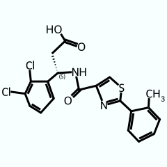 Cc1ccccc1-c1nc(C(=O)N[C@@H](CC(=O)O)c2cccc(Cl)c2Cl)cs1